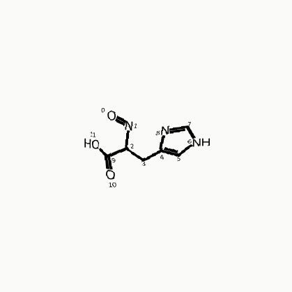 O=NC(Cc1c[nH]cn1)C(=O)O